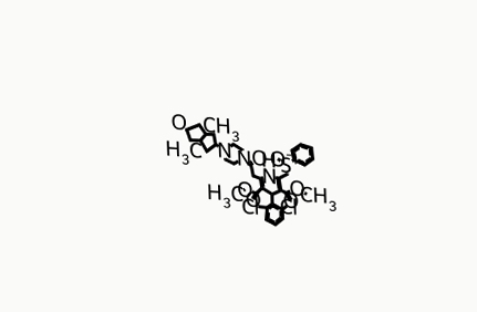 COC(=O)C1=C(CC(=O)N2CCN(C3CC4(C)CC(=O)CC4(C)C3)CC2)NC(C[S+]([O-])c2ccccc2)=C(C(=O)OC)C1c1c(Cl)cccc1Cl